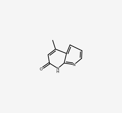 Cc1cc(=O)[nH]c2ncccc12